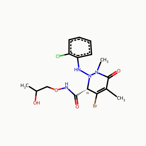 CC1=C(Br)[C@H](C(=O)NOCC(C)O)N(Nc2ccccc2Cl)N(C)C1=O